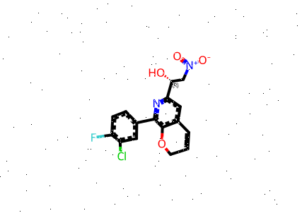 O=[N+]([O-])C[C@@H](O)c1cc2c(c(-c3ccc(F)c(Cl)c3)n1)OCC=C2